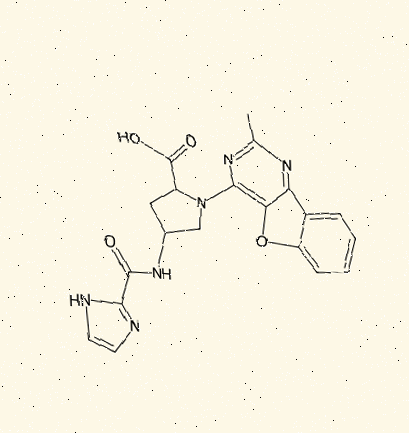 Cc1nc(N2CC(NC(=O)c3ncc[nH]3)CC2C(=O)O)c2oc3ccccc3c2n1